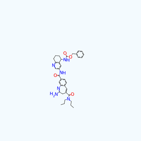 CCCN(CCC)C(=O)C1=Cc2ccc(C(=O)Nc3cnc4c(c3)C(NC(=O)OCc3ccccc3)CCC4)cc2N=C(N)C1